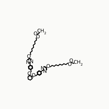 C=CC(=O)OCCCCCCCCCCOc1cnc(-c2ccc(CO[C@@H]3CCCC[C@H]3OCc3ccc(-c4ncc(OCCCCCCCCCCOC(=O)C=C)cn4)cc3)cc2)nc1